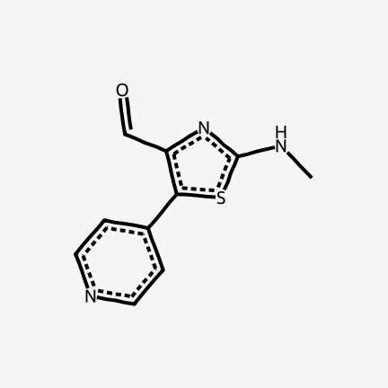 CNc1nc(C=O)c(-c2ccncc2)s1